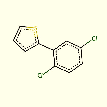 Clc1ccc(Cl)c(-c2cc[c]s2)c1